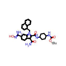 CC(C)(C)OC(=O)NC1CCC(NC(=O)c2c(C(N)=O)c3ccc(C(N)=NO)cc3n2Cc2cccc3ccccc23)CC1